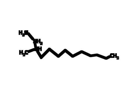 CCCCCCCCCC[SiH](C)[SiH2][SiH3]